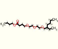 CCCCOC(=O)CCCOCCOCCOCC(CC)CCCC